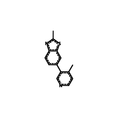 Cc1nc2ccc(-c3cnccc3C)cc2s1